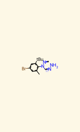 C=NN(/C=N\N)c1c(C)cc(Br)cc1C(C)(C)C